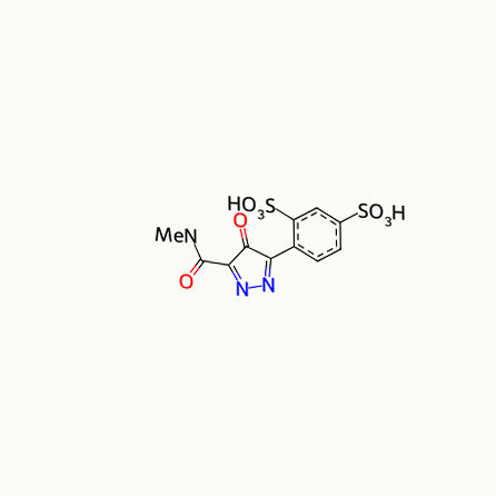 CNC(=O)C1=NN=C(c2ccc(S(=O)(=O)O)cc2S(=O)(=O)O)C1=O